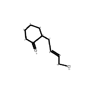 O=C1CCCCC1CC=CCCl